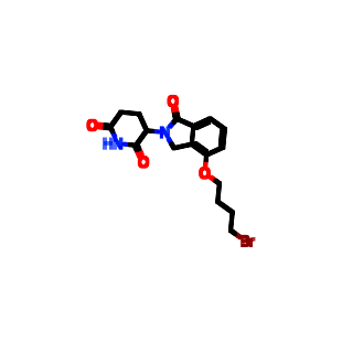 O=C1CCC(N2Cc3c(OCCCCBr)cccc3C2=O)C(=O)N1